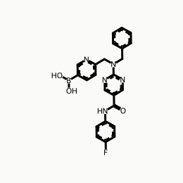 O=C(Nc1ccc(F)cc1)c1cnc(N(Cc2ccccc2)Cc2ccc(B(O)O)cn2)nc1